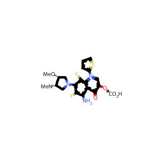 CN[C@H]1CN(c2c(F)c(N)c3c(=O)c(OC(=O)O)cn(-c4cccs4)c3c2F)C[C@H]1OC